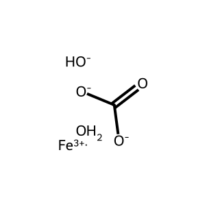 O.O=C([O-])[O-].[Fe+3].[OH-]